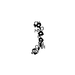 CN1CCN(CC(=O)Nc2nc3ccc(Oc4cccc(NC(=O)c5cccc(C(C)(C)C#N)c5)c4)cn3n2)CC1